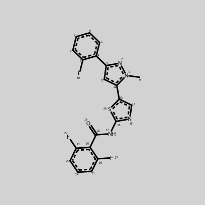 Cn1nc(-c2ccccc2F)cc1-c1cnc(NC(=O)c2c(F)cccc2F)s1